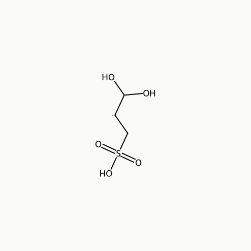 O=S(=O)(O)C[CH]C(O)O